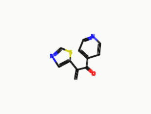 C=C(C(=O)c1ccncc1)c1cncs1